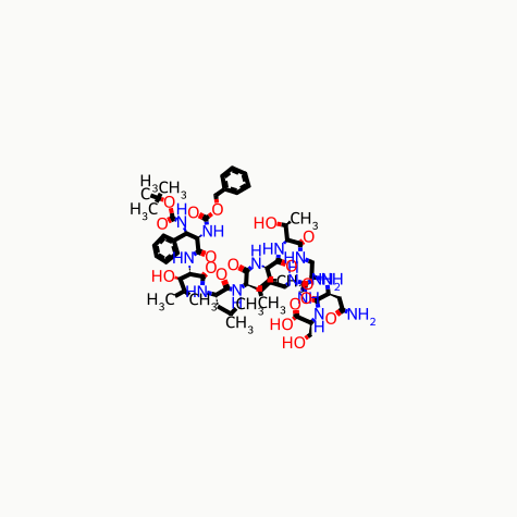 CC[C@H](C)[C@H](NC(=O)[C@@H](CCCNC(=N)N)NC(=O)[C@H](CC(C)C)NC(=O)[C@@H](NC(=O)[C@@H](NC(=O)OCc1ccccc1)[C@H](NC(=O)OC(C)(C)C)c1ccccc1)[C@H](O)C(C)C)C(=O)N[C@H](C(=O)NCC(=O)N[C@@H](CC(N)=O)C(=O)N[C@@H](CO)C(=O)O)[C@H](C)O